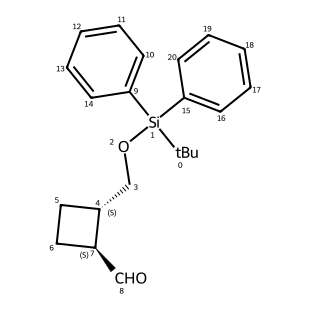 CC(C)(C)[Si](OC[C@H]1CC[C@@H]1C=O)(c1ccccc1)c1ccccc1